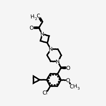 C=CC(=O)N1CC(N2CCN(C(=O)c3cc(C4CC4)c(Cl)cc3OC)CC2)C1